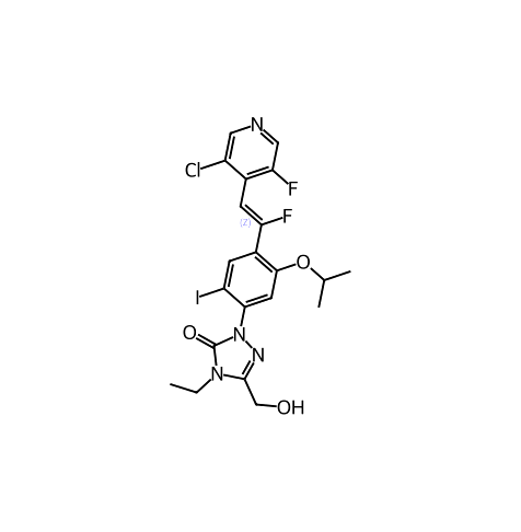 CCn1c(CO)nn(-c2cc(OC(C)C)c(/C(F)=C/c3c(F)cncc3Cl)cc2I)c1=O